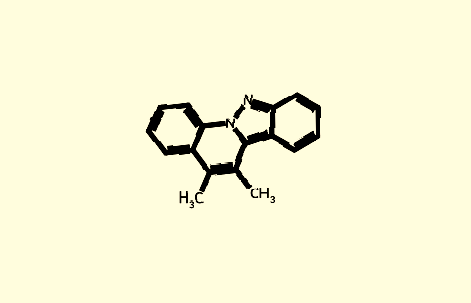 Cc1c(C)c2c3ccccc3nn2c2ccccc12